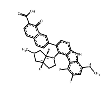 CNc1cc(F)c(F)c2c1[nH]c1ncc(-c3ccc4ccc(C(=O)O)c(=O)n4c3)c(N3CC[C@@H]4CN(C)C[C@@H]43)c12